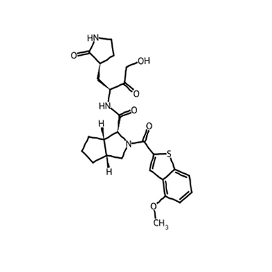 COc1cccc2sc(C(=O)N3C[C@@H]4CCC[C@@H]4[C@H]3C(=O)N[C@@H](C[C@@H]3CCNC3=O)C(=O)CO)cc12